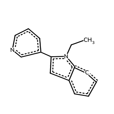 CCn1c(-c2cccnc2)cc2ccccc21